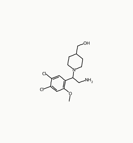 COc1cc(Cl)c(Cl)cc1C(CN)N1CCC(CO)CC1